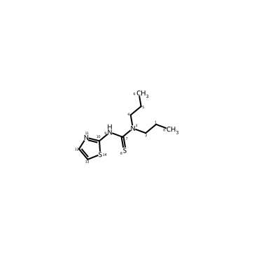 CCCN(CCC)C(=S)Nc1nccs1